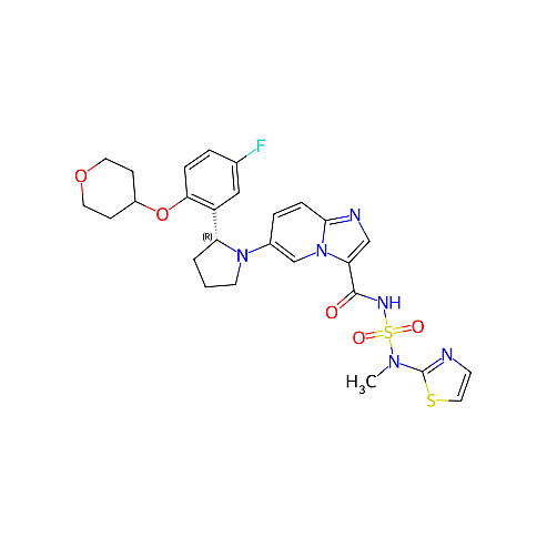 CN(c1nccs1)S(=O)(=O)NC(=O)c1cnc2ccc(N3CCC[C@@H]3c3cc(F)ccc3OC3CCOCC3)cn12